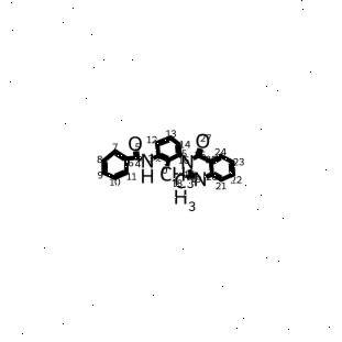 Cc1c(NC(=O)c2ccccc2)cccc1-n1c(C)nc2ccccc2c1=O